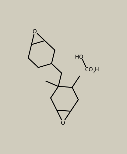 CC1CC2OC2CC1(C)CC1CCC2OC2C1.O=C(O)O